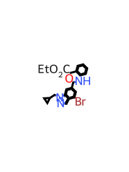 CCOC(=O)Cc1ccccc1NC(=O)c1cc(Br)c2cnn(CC3CC3)c2c1